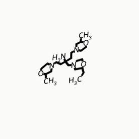 CCC1CN(CC(N)(CCN2CCOC(C)C2)CCN2CCOC(C)C2)CCO1